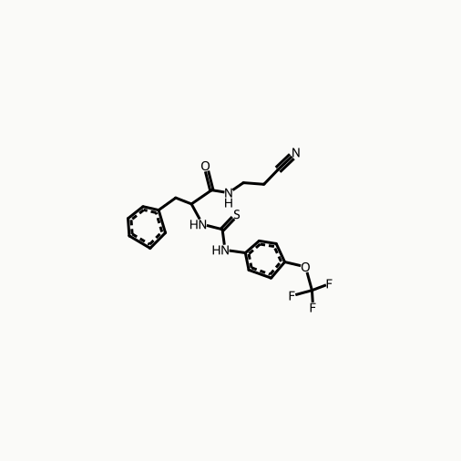 N#CCCNC(=O)C(Cc1ccccc1)NC(=S)Nc1ccc(OC(F)(F)F)cc1